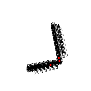 CC[P+](C)(CC)CC.CC[P+](C)(CC)CC.CC[P+](C)(CC)CC.CC[P+](C)(CC)CC.CC[P+](C)(CC)CC.CC[P+](C)(CC)CC.CC[P+](C)(CC)CC.CC[P+](C)(CC)CC.CC[P+](C)(CC)CC.CC[P+](C)(CC)CC.CC[P+](C)(CC)CC.CC[P+](C)(CC)CC.[O-]B([O-])F.[O-]B([O-])F.[O-]B([O-])F.[O-]B([O-])F.[O-]B([O-])F.[O-]B([O-])F